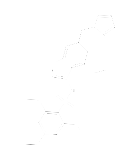 COc1cc(OC)c(S(=O)(=O)Nc2noc3cc(Cn4cccn4)cc(OC)c23)c(OC)c1